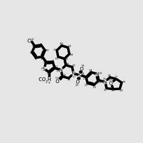 O=C(O)c1sc(-c2ccc(Cl)cc2)cc1N1C(=O)CN(S(=O)(=O)c2ccc(N3CC4CCC(C3)O4)nc2)CC1C1CCCCC1